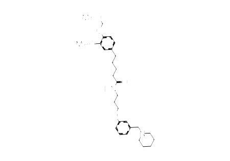 COCOc1ccc(CCCCC(=O)NCCCOc2cccc(CN3CCCCC3)c2)cc1OC